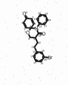 O=C1C=CC2(C=C1)OCC(CCc1cccc(Br)c1)C(=O)N2c1ccccc1